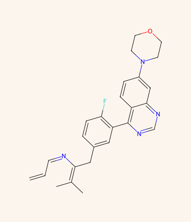 C=C/C=N\C(Cc1ccc(F)c(-c2ncnc3cc(N4CCOCC4)ccc23)c1)=C(C)C